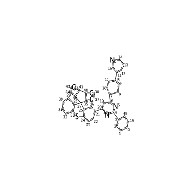 c1ccc(-c2nc(-c3ccc(-c4cccnc4)cc3)cc(-c3ccc4c(c3)C3(c5ccccc5S4)c4ccccc4-c4ccccc43)n2)cc1